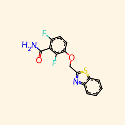 NC(=O)c1c(F)ccc(OCc2nc3ccccc3s2)c1F